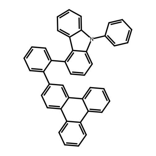 c1ccc(-n2c3ccccc3c3c(-c4ccccc4-c4ccc5c6ccccc6c6ccccc6c5c4)cccc32)cc1